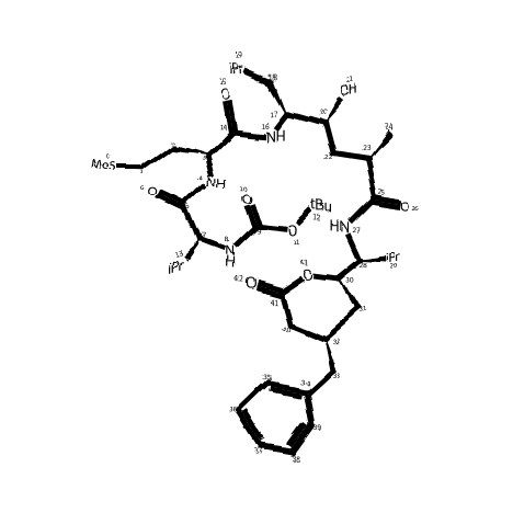 CSCC[C@H](NC(=O)[C@@H](NC(=O)OC(C)(C)C)C(C)C)C(=O)N[C@@H](CC(C)C)[C@@H](O)C[C@@H](C)C(=O)N[C@@H](C(C)C)[C@H]1C[C@@H](Cc2ccccc2)CC(=O)O1